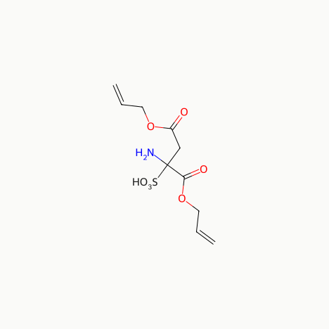 C=CCOC(=O)CC(N)(C(=O)OCC=C)S(=O)(=O)O